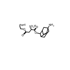 CCCC(C)COC(=O)CC(C(=O)OC1C2CC3CC1CC(N)(C3)C2)S(=O)(=O)O